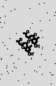 CC(=O)Cc1cc(=O)c2c(C)cc(O)cc2o1.CC(=O)Cc1cc(=O)c2c(C)cc(O)cc2o1